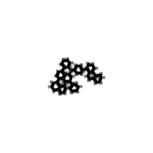 c1ccc(-c2ccc(-c3ccccc3N(c3ccc(-c4cccc5c4ccc4ccccc45)cc3)c3ccc(-c4ccccc4)c(-c4ccccc4)c3)cc2)cc1